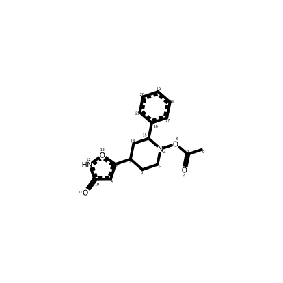 CC(=O)ON1CCC(c2cc(=O)[nH]o2)CC1c1ccccc1